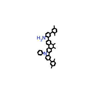 Cc1ccc(C)c(-c2ccc(N)c(-c3ccc4c(c3)C(C)C(C)c3cc5c6cc(-c7cc(C)ccc7C)ccc6n(-c6ccccc6)c5cc3-4)c2)c1